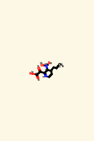 C=CCC1C=CN=C(C(=O)C(=O)O)C1[N+](=O)[O-]